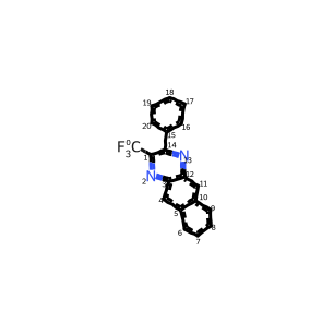 FC(F)(F)c1nc2cc3ccccc3cc2nc1-c1ccccc1